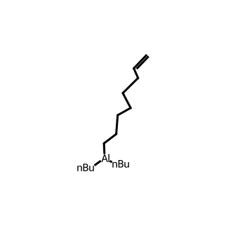 C=CCCCCC[CH2][Al]([CH2]CCC)[CH2]CCC